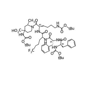 CC1CC(NC(=O)OC(C)(C)C)(C(=O)O)CCN1C(=O)[C@@H](CCCCNC(=O)OC(C)(C)C)NC(=O)C(CCCC(F)(F)F)NC(=O)[C@@H](Cc1ccccc1)NC(=O)[C@@H](Cc1ccccc1)NC(=O)OC(C)(C)C